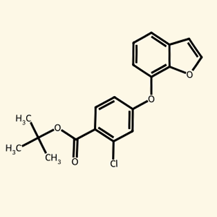 CC(C)(C)OC(=O)c1ccc(Oc2cccc3ccoc23)cc1Cl